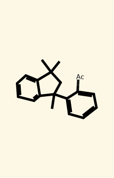 CC(=O)c1ccccc1C1(C)CC(C)(C)c2ccccc21